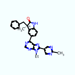 CCn1c(-c2cnc(C)nc2)nc2c(-c3ccc4c(c3)[C@@](C)(Cc3ccccc3)C(=O)N4)ncnc21